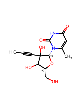 CC#CC1(O)C(O)[C@@H](CO)O[C@H]1n1c(C)cc(=O)[nH]c1=O